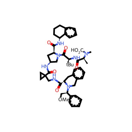 COC[C@H](c1ccccc1)N1Cc2ccccc2C[C@H]1C(=O)NCC1(C(=O)N[C@H]2C[C@@H](C(=O)N[C@@H]3CCCc4ccccc43)N(C(=O)[C@@H](NC(=O)[C@H](C)N(C)C(=O)O)C(C)(C)C)C2)CC1